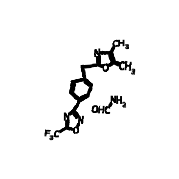 Cc1nc(Cc2ccc(-c3noc(C(F)(F)F)n3)cc2)oc1C.NC=O